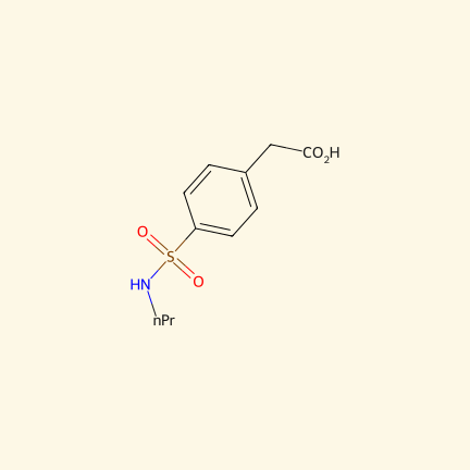 CCCNS(=O)(=O)c1ccc(CC(=O)O)cc1